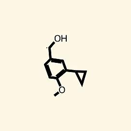 COc1ccc([CH]O)cc1C1CC1